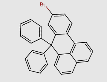 Brc1ccc2c(c1)C(c1ccccc1)(c1ccccc1)c1cccc3cccc-2c13